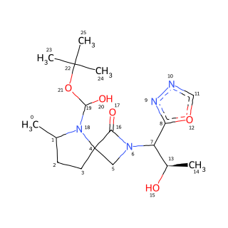 CC1CCC2(CN(C(c3nnco3)[C@@H](C)O)C2=O)N1C(O)OC(C)(C)C